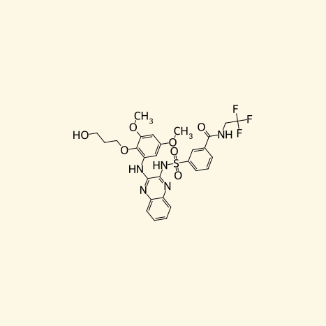 COc1cc(Nc2nc3ccccc3nc2NS(=O)(=O)c2cccc(C(=O)NCC(F)(F)F)c2)c(OCCCO)c(OC)c1